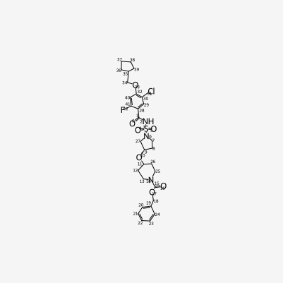 O=C(NS(=O)(=O)N1CC[C@@H](OC2CCN(C(=O)OCc3ccccc3)CC2)C1)c1cc(Cl)c(OCC2CCCC2)cc1F